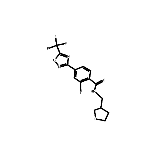 O=C(NCC1CCOC1)c1ccc(-c2noc(C(F)(F)F)n2)cc1F